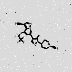 Cc1c(-c2cc(O[C@@H](C)C(F)(F)F)c3c(C#N)cnn3c2)cnn1C1CCN(C#N)CC1